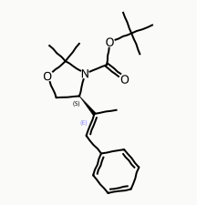 C/C(=C\c1ccccc1)[C@H]1COC(C)(C)N1C(=O)OC(C)(C)C